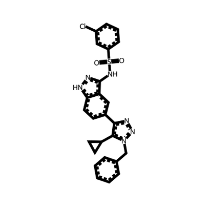 O=S(=O)(Nc1n[nH]c2ccc(-c3nnn(Cc4ccccc4)c3C3CC3)cc12)c1cccc(Cl)c1